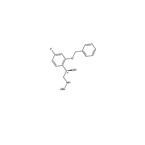 CCCCNC[C@H](O)c1ccc(F)cc1OCc1ccccc1